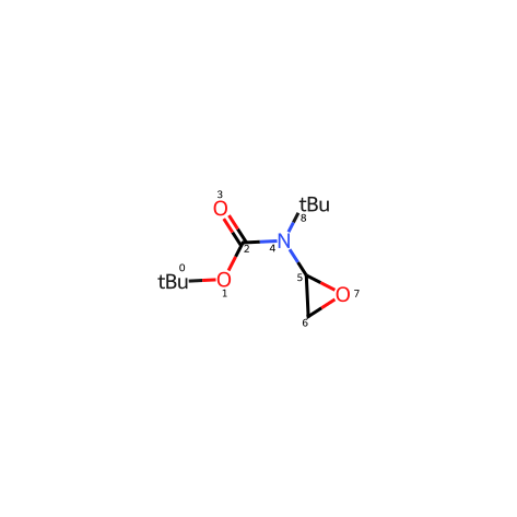 CC(C)(C)OC(=O)N(C1CO1)C(C)(C)C